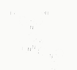 NN1c2ccc(-n3c4ccccc4c4ccccc43)cc2Oc2cc(-n3c4ccc(O)cc4c4cc(O)ccc43)ccc21